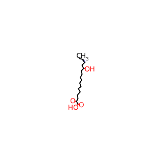 CC/C=C\CC(O)CCCCCCCCCCC(=O)C(=O)O